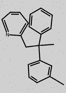 Cc1cccc(C(C)(Cc2ccccn2)c2ccccc2)c1